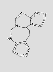 C1=CN2CNc3ccccc3CC2c2ccccc21